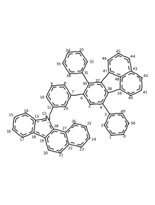 c1ccc(-c2cc(-c3cccc(-n4c5ccccc5c5ccc6ccccc6c54)c3)c(-c3ccccc3)c3c2-c2cccc4cccc-3c24)cc1